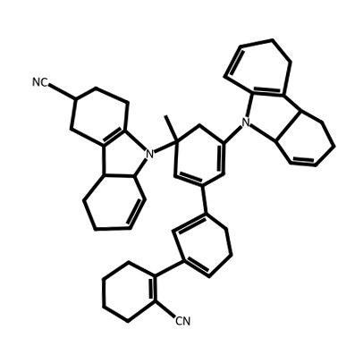 CC1(N2C3=C(CC(C#N)CC3)C3CCC=CC32)C=C(C2=CC(C3=C(C#N)CCCC3)=CCC2)C=C(N2C3=C(CCC=C3)C3CCC=CC32)C1